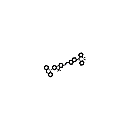 CC1(C)c2cc(/C=C/c3ccc4cc(N5c6ccccc6S(C)(C)c6ccccc65)ccc4c3)ccc2-c2ccc(N3c4ccccc4Cc4ccccc43)cc21